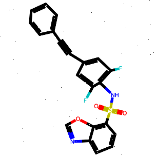 O=S(=O)(Nc1c(F)cc(C#Cc2ccccc2)cc1F)c1cccc2ncoc12